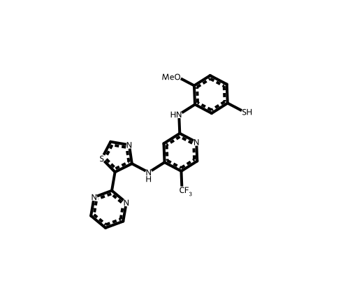 COc1ccc(S)cc1Nc1cc(Nc2ncsc2-c2ncccn2)c(C(F)(F)F)cn1